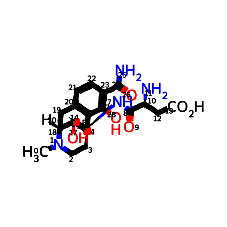 CN1CC[C@]23C[C@H](NC(=O)[C@@H](N)CC(=O)O)CC[C@@]2(O)[C@H]1Cc1ccc(C(N)=O)c(O)c13